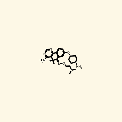 CN(C)CCO/N=C1\c2cc(O[C@H]3CC[C@H](N)CC3)ccc2-c2ncnc(N)c2C1(C)C